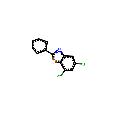 Clc1cc(Cl)c2sc(-c3ccccc3)nc2c1